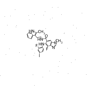 Cc1[nH]c2ccccc2c1CCNC(=O)c1cc2c(ncn2C)c(F)c1Nc1ccc(I)cc1F